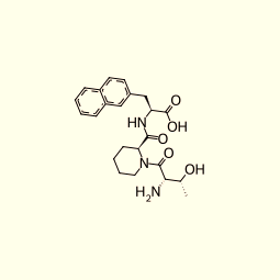 C[C@@H](O)[C@H](N)C(=O)N1CCCC[C@H]1C(=O)N[C@@H](Cc1ccc2ccccc2c1)C(=O)O